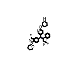 Fc1nn(C2CCCCO2)c2ccc(/C(=C(\CC(F)(F)F)c3ccccc3)c3ccc(O[C@@H]4CCCNC4)nc3)cc12